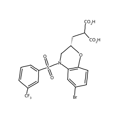 O=C(O)C(C[C@H]1CN(S(=O)(=O)c2cccc(C(F)(F)F)c2)c2cc(Br)ccc2O1)C(=O)O